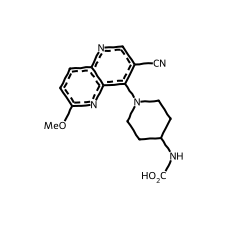 COc1ccc2ncc(C#N)c(N3CCC(NC(=O)O)CC3)c2n1